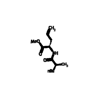 C=CC[C@H](NC(=O)[C@@H](C)CCCC)C(=O)OC